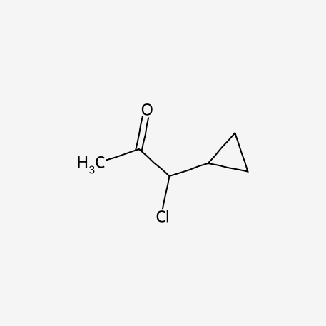 CC(=O)C(Cl)C1CC1